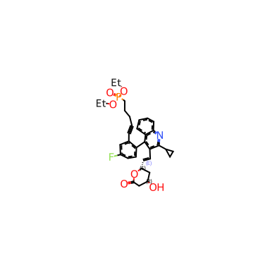 CCOP(=O)(CCCC#Cc1cc(F)ccc1-c1c(/C=C/[C@@H]2C[C@@H](O)CC(=O)O2)c(C2CC2)nc2ccccc12)OCC